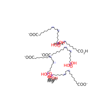 CCCCCC/C=C\CCCCCCCC(=O)O.O=C([O-])CCCCCCC/C=C\C/C=C\CCCCCP(=O)(O)O.O=C([O-])CCCCCCC/C=C\C/C=C\CCCCCP(=O)(O)O.O=C([O-])CCCCCCC/C=C\C/C=C\CCCCCP(=O)(O)OP(=O)(O)CCCCC/C=C\C/C=C\CCCCCCCC(=O)[O-].[Mg+2].[Mg+2]